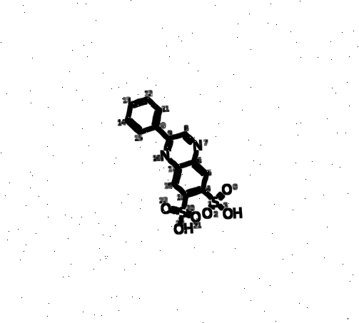 O=S(=O)(O)c1cc2ncc(-c3ccccc3)nc2cc1S(=O)(=O)O